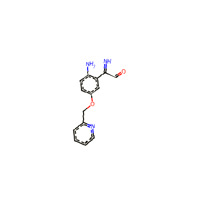 N=C(C=O)c1cc(OCc2ccccn2)ccc1N